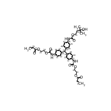 C=CC(=O)OCCOC(=O)Nc1ccc(C(c2ccc(NC(=O)OCCOC(=O)C=C)cc2)c2ccc(NC(=O)OCCC(C)(C)O)cc2)cc1